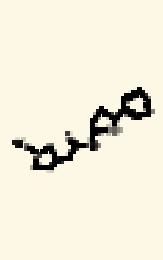 N#CN1CCC(CC(=O)NC2CCC(c3ccccc3)N2)C1